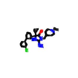 CC(=O)N1CCC(CN2C(=N)NC(c3cccc(-c4cccc(Cl)c4)c3)(C3CC3)C2=O)CC1